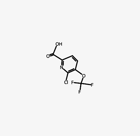 O=C(O)c1ccc(OC(F)(F)F)c(Cl)n1